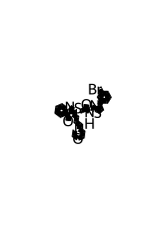 O=C(CSc1nc2ccccc2c(=O)n1CCCN1CCOCC1)Nc1nc(-c2cccc(Br)c2)cs1